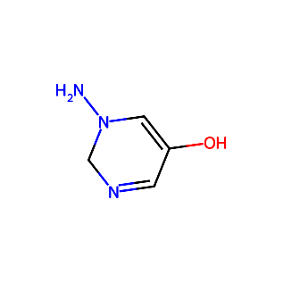 NN1C=C(O)C=NC1